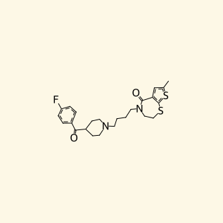 Cc1cc2c(s1)SCCN(CCCCN1CCC(C(=O)c3ccc(F)cc3)CC1)C2=O